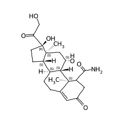 C[C@]12C[C@H](O)[C@H]3[C@@H](CCC4=CC(=O)CC(C(N)=O)[C@@]43C)[C@@H]1CC[C@]2(O)C(=O)CO